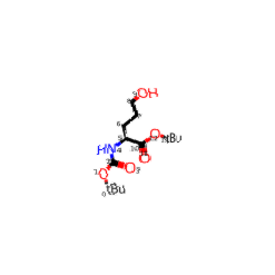 CC(C)(C)OC(=O)N[C@@H](CCCO)C(=O)OC(C)(C)C